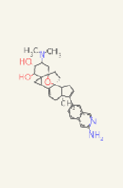 CN(C)[C@H]1C[C@@]23CC[C@@]4(O2)C(=CC[C@]2(C)C(c5ccc6cc(N)ncc6c5)=CCC24)C2CC23[C@@H](O)[C@@H]1O